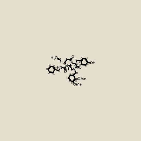 C=CC[C@@H]1CC(=O)N2[C@H](CN(Cc3cccc(OC)c3OC)C(=O)[C@@H]2Cc2ccc(O)cc2)N1C(=O)NCc1ccccc1